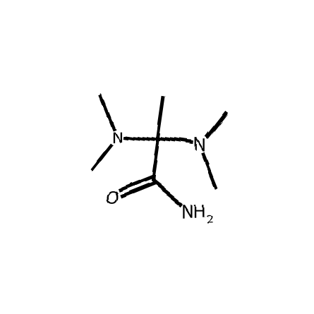 CN(C)C(C)(C(N)=O)N(C)C